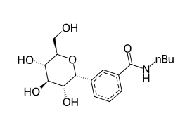 CCCCNC(=O)c1cccc([C@H]2O[C@H](CO)[C@@H](O)[C@H](O)[C@H]2O)c1